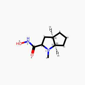 CN1C(C(=O)NO)C[C@H]2CCC[C@H]21